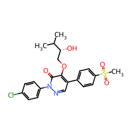 CC(C)[C@H](O)COc1c(-c2ccc(S(C)(=O)=O)cc2)cnn(-c2ccc(Cl)cc2)c1=O